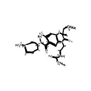 COCC1(C)Oc2cc(C(F)(F)F)c(C(=O)N(C(C)C)[C@@H]3CCCN(C(=O)O)C3)cc2N(CCNC(=O)OC)C1=O